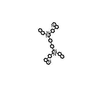 c1ccc2cc(-c3nc(-c4ccc(-c5ccc(-c6cc(-c7ccc(-c8cccc9cccnc89)cc7)nc(-c7ccc8ccccc8c7)n6)cc5)cc4)cc(-c4ccc(-c5cccc6cccnc56)cc4)n3)ccc2c1